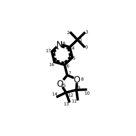 CC(C)(C)c1cc(C2OC(C)(C)C(C)(C)O2)ccn1